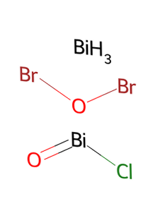 BrOBr.[BiH3].[O]=[Bi][Cl]